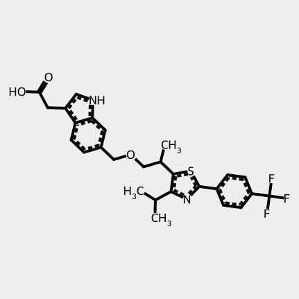 CC(C)c1nc(-c2ccc(C(F)(F)F)cc2)sc1C(C)COCc1ccc2c(CC(=O)O)c[nH]c2c1